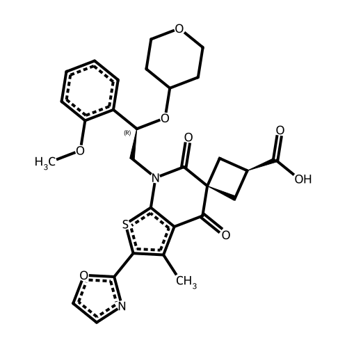 COc1ccccc1[C@H](CN1c2sc(-c3ncco3)c(C)c2C(=O)[C@]2(C[C@H](C(=O)O)C2)C1=O)OC1CCOCC1